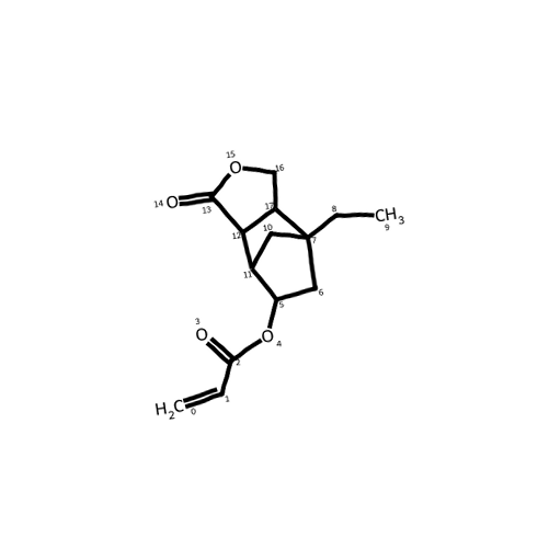 C=CC(=O)OC1CC2(CC)CC1C1C(=O)OCC12